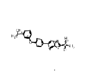 CN(C)c1cccc(Oc2ccc(-c3cn4nc([SH](N)(=O)P)sc4n3)cc2)c1